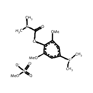 COS(=O)(=O)[O-].COc1cc([S+](C)C)cc(OC)c1OC(=O)N(C)C